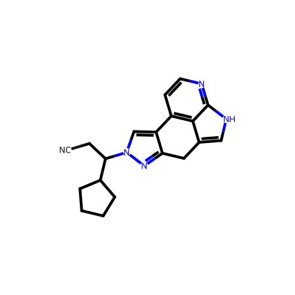 N#CCC(C1CCCC1)n1cc2c(n1)Cc1c[nH]c3nccc-2c13